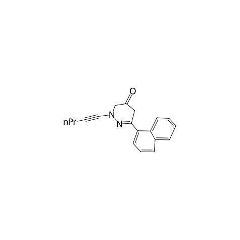 CCCC#CN1CC(=O)CC(c2cccc3ccccc23)=N1